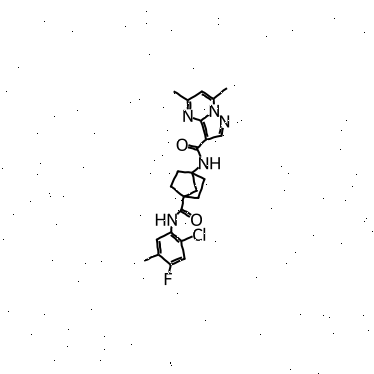 Cc1cc(C)n2ncc(C(=O)NC34CCC(C(=O)Nc5cc(C)c(F)cc5Cl)(CC3)C4)c2n1